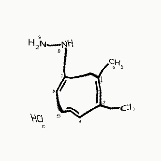 Cc1c(Cl)cccc1NN.Cl